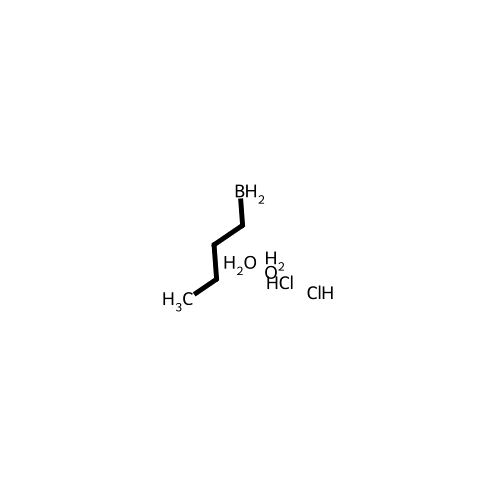 BCCCC.Cl.Cl.O.O